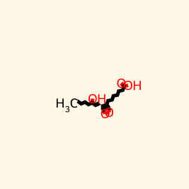 CCCCCC(O)/C=C/[C@H]1C2CC(OO2)C1CCCCCCC(=O)O